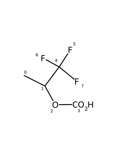 CC(OC(=O)O)C(F)(F)F